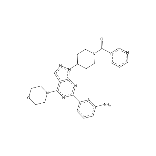 Nc1cccc(-c2nc(N3CCOCC3)c3cnn(C4CCN(C(=O)c5cccnc5)CC4)c3n2)n1